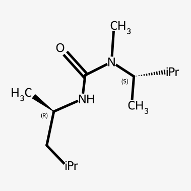 CC(C)C[C@@H](C)NC(=O)N(C)[C@@H](C)C(C)C